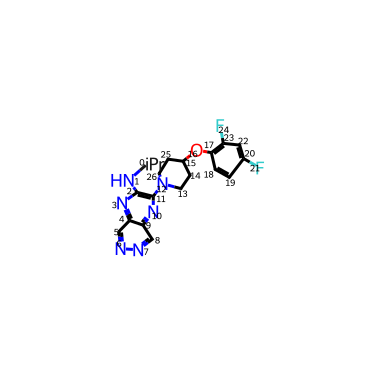 CC(C)Nc1nc2cnncc2nc1N1CCC(Oc2ccc(F)cc2F)CC1